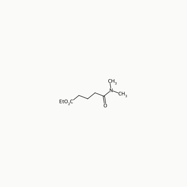 CCOC(=O)CCCC(=O)N(C)C